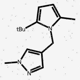 Cc1ccc(C(C)(C)C)n1Cc1cnn(C)c1